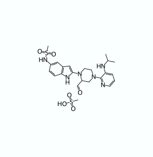 CC(C)Nc1cccnc1N1CCN(c2cc3cc(NS(C)(=O)=O)ccc3[nH]2)C(C=O)C1.CS(=O)(=O)O